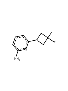 Nc1cccc(N2CC(F)(F)C2)n1